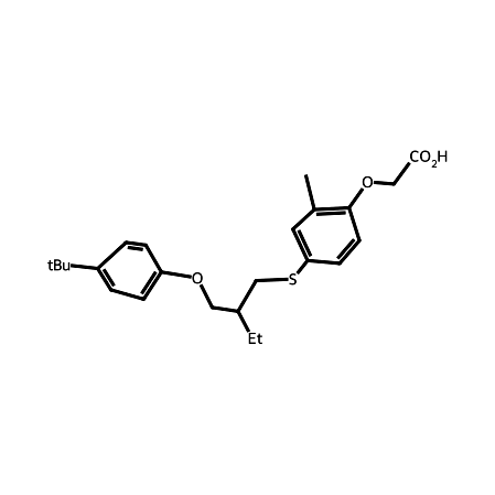 CCC(COc1ccc(C(C)(C)C)cc1)CSc1ccc(OCC(=O)O)c(C)c1